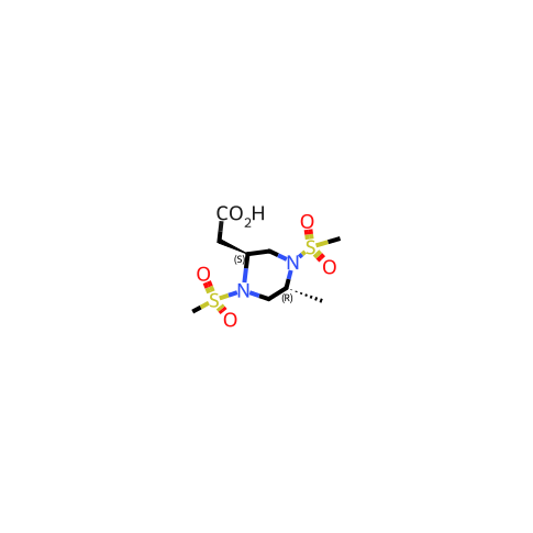 C[C@@H]1CN(S(C)(=O)=O)[C@@H](CC(=O)O)CN1S(C)(=O)=O